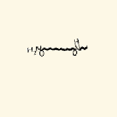 CCCCNC(=O)CCCCCCCCCCCC(N)=O